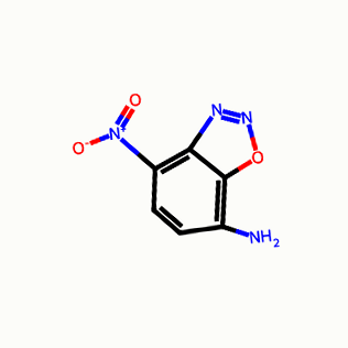 Nc1ccc([N+](=O)[O-])c2nnoc12